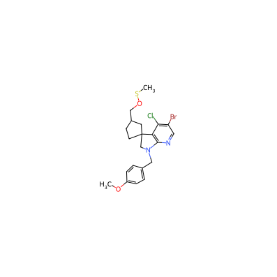 COc1ccc(CN2CC3(CCC(COSC)C3)c3c2ncc(Br)c3Cl)cc1